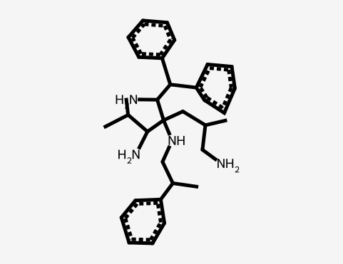 CC(CN)CC(NCC(C)c1ccccc1)(C(N)C(C)C)C(N)C(c1ccccc1)c1ccccc1